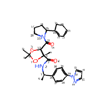 C[C@@H](NC(=O)[C@]1(C)OC(C)(C)OC1C(=O)N1CCCC1C1=CC=CCC1)c1ccc(-n2cccn2)cc1